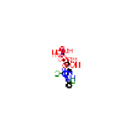 O=P(O)(O)CP(=O)(O)OC[C@H]1O[C@@H](c2cnc3c(NCc4ccccc4Cl)nc(Cl)nn23)[C@H](O)[C@@H]1O